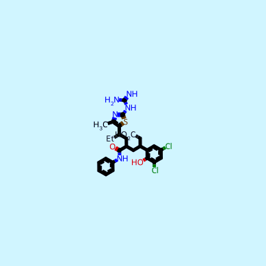 CCC(CC(CC(CC(=O)O)c1cc(Cl)cc(Cl)c1O)C(=O)Nc1ccccc1)c1sc(NC(=N)N)nc1C